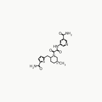 C[C@H]1CCC(Cc2ccc(C(N)=O)s2)N(C(=O)C(=O)Nc2cncc(C(N)=O)c2)C1